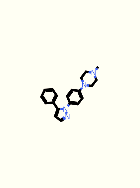 CN1CCN(c2ccc(-n3nccc3-c3ccccc3)cc2)CC1